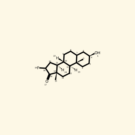 C[C@]12CC[C@H](O)CC1CC[C@@H]1[C@@H]2CC[C@]2(C)C(=O)C(F)C[C@@H]12